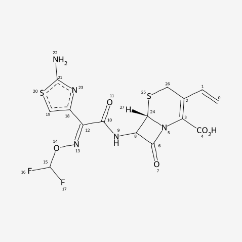 C=CC1=C(C(=O)O)N2C(=O)C(NC(=O)C(=NOC(F)F)c3csc(N)n3)[C@@H]2SC1